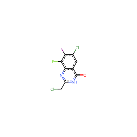 O=c1[nH]c(CCl)nc2c(F)c(I)c(Cl)cc12